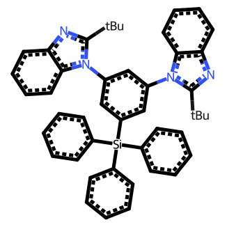 CC(C)(C)c1nc2ccccc2n1-c1cc(-n2c(C(C)(C)C)nc3ccccc32)cc([Si](c2ccccc2)(c2ccccc2)c2ccccc2)c1